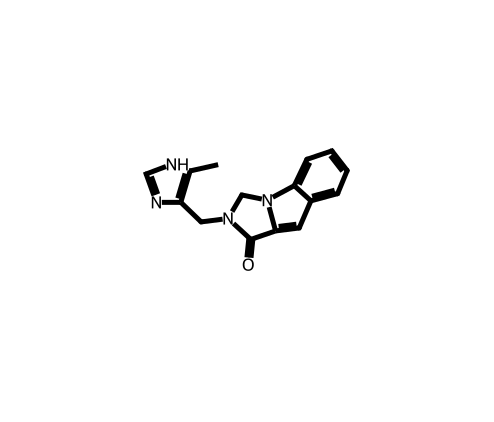 Cc1[nH]cnc1CN1Cn2c(cc3ccccc32)C1=O